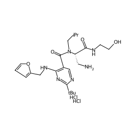 CC(C)CN(C(=O)c1cnc(C(C)(C)C)nc1NCc1ccco1)[C@@H](CN)C(=O)NCCO.Cl.Cl